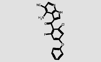 N#Cc1cnc2[nH]cc(C(=O)c3c(F)cc(Oc4ccccc4)cc3Cl)c2c1N